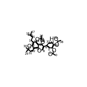 CC(=O)Oc1cc(-c2coc3c4c(c(CC=C(C)C)c(OC(C)=O)c3c2=O)OC(C)(C)C=C4)ccc1OC(C)O